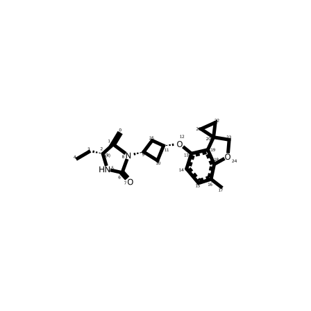 C=C1[C@@H](CC)NC(=O)N1[C@H]1C[C@@H](Oc2ccc(C)c3c2C2(CC2)CO3)C1